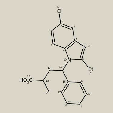 CCc1nc2cc(Cl)ccc2n1C(CC(C)C(=O)O)c1ccccc1